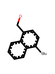 CC(C)(C)c1ccc(C[O])c2ccccc12